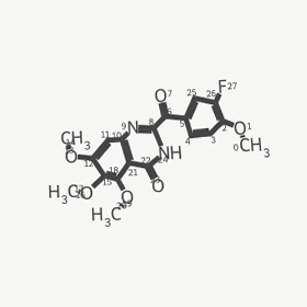 COc1ccc(C(=O)c2nc3cc(OC)c(OC)c(OC)c3c(=O)[nH]2)cc1F